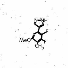 COc1cc(-c2cn[nH]c2)c(F)c(F)c1C